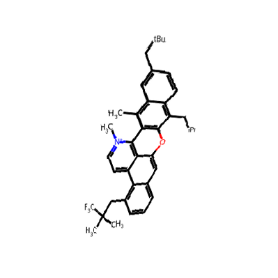 Cc1c2c(c(CC(C)C)c3ccc(CC(C)(C)C)cc13)Oc1cc3cccc(CC(C)(C)C(F)(F)F)c3c3cc[n+](C)c-2c13